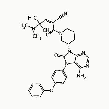 CN(C)C(C)(C)/C=C(/C#N)C(=O)N1CCC[C@H](n2c(=O)n(-c3ccc(Oc4ccccc4)cc3)c3c(N)ncnc32)C1